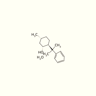 C[C@@H]1CC[C@@H](C(C)(C)c2ccccc2)[C@H](O)C1.O